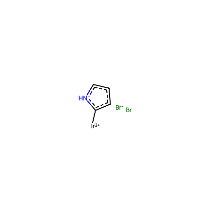 [Br-].[Br-].[Ir+2][c]1ccc[nH]1